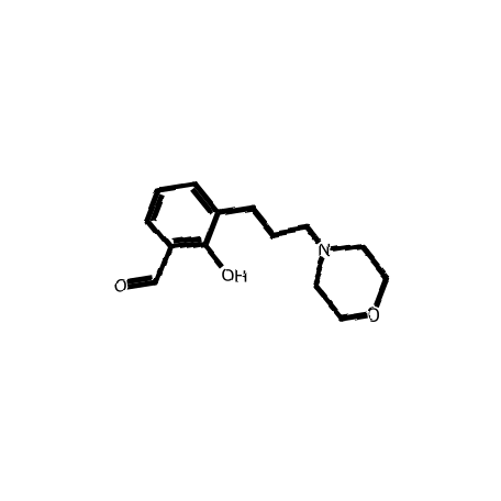 O=Cc1cccc(CCCN2CCOCC2)c1O